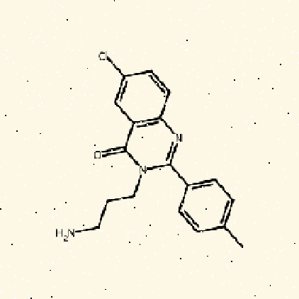 Cc1ccc(-c2nc3ccc(Cl)cc3c(=O)n2CCCN)cc1